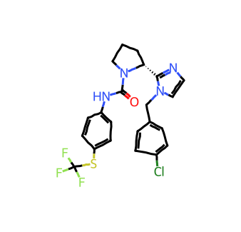 O=C(Nc1ccc(SC(F)(F)F)cc1)N1CCC[C@@H]1c1nccn1Cc1ccc(Cl)cc1